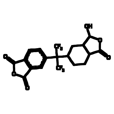 O=C1OC(=O)c2cc(C(C3CCC4C(=O)OC(O)C4C3)(C(F)(F)F)C(F)(F)F)ccc21